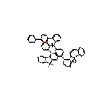 CC1(C)c2ccccc2-c2c(-c3ccccc3N(c3ccc(-c4cccc5oc6c7ccccc7ccc6c45)cc3)c3ccccc3-c3ccc(-c4ccccc4)cc3)cccc21